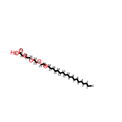 CCCCCCCCCCCCCCCCCCCOCCOCCOCCOCC(=O)O